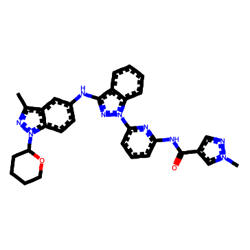 Cc1nn(C2CCCCO2)c2ccc(Nc3nn(-c4cccc(NC(=O)c5cnn(C)c5)n4)c4ccccc34)cc12